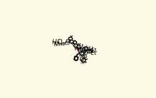 CCC1O[C@@H](OC2[C@H](O[C@H]3CCC4(C)C5CC=C6C7CC(C)(C)CC[C@]7(C(=O)O)C(OC)C[C@@]6(C)[C@@]5(C)CC[C@H]4[C@@]3(C)C=O)OC(Cc3ccccc3)[C@@H](C)[C@@H]2O[C@@H]2OC[C@@H](C)[C@H](C)C2C)C(O[Si](CC)(CC)CC)[C@@H](C)[C@H]1C